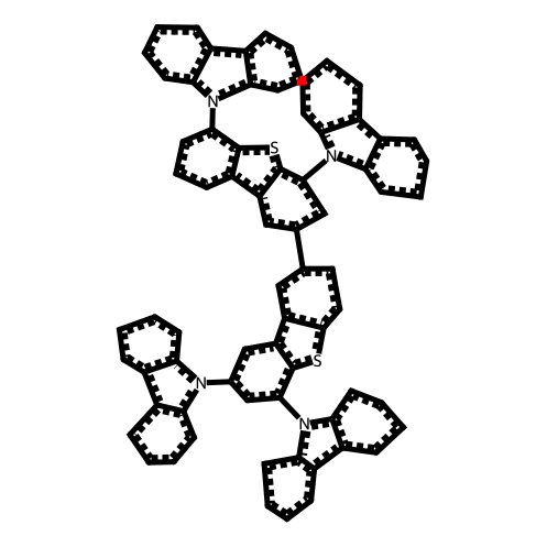 c1cc(-n2c3ccccc3c3ccccc32)c2sc3c(-n4c5ccccc5c5ccccc54)cc(-c4ccc5sc6c(-n7c8ccccc8c8ccccc87)cc(-n7c8ccccc8c8ccccc87)cc6c5c4)cc3c2c1